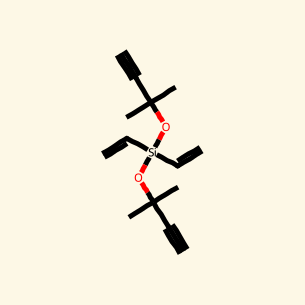 C#CC(C)(C)O[Si](C=C)(C=C)OC(C)(C)C#C